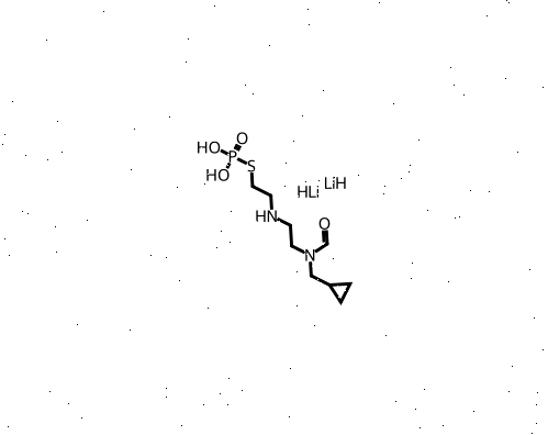 O=CN(CCNCCSP(=O)(O)O)CC1CC1.[LiH].[LiH]